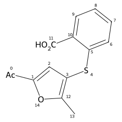 CC(=O)c1cc(Sc2ccccc2C(=O)O)c(C)o1